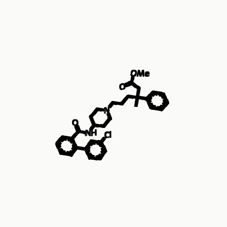 COC(=O)CC(C)(CCCN1CCC(NC(=O)c2ccccc2-c2cccc(Cl)c2)CC1)c1ccccc1